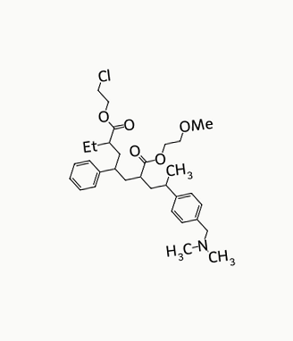 CCC(CC(CC(CC(C)c1ccc(CN(C)C)cc1)C(=O)OCCOC)c1ccccc1)C(=O)OCCCl